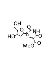 COC(=O)c1cn([C@H]2C[C@@H](O)[C@@H](CO)O2)c(=O)[nH]c1=O